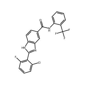 O=C(Nc1ccccc1C(F)(F)F)c1ccc2[nH]c(-c3c(F)cccc3Cl)nc2c1